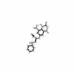 CC(=O)N(C)c1c(N(C)C)cc(C/C(C#N)=C/Nc2ccccc2)cc1N(C)C